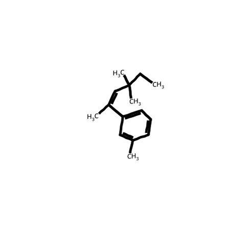 CCC(C)(C)/C=C(/C)c1cccc(C)c1